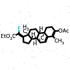 CCOC(=O)C(F)=C1CC[C@H]2[C@@H]3CC=C4C(C)=C(OC(C)=O)CC[C@]4(C)[C@H]3CC[C@]12C